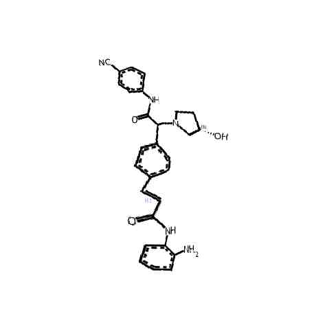 N#Cc1ccc(NC(=O)C(c2ccc(/C=C/C(=O)Nc3ccccc3N)cc2)N2CC[C@H](O)C2)cc1